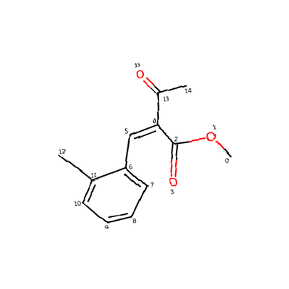 COC(=O)C(=Cc1ccccc1C)C(C)=O